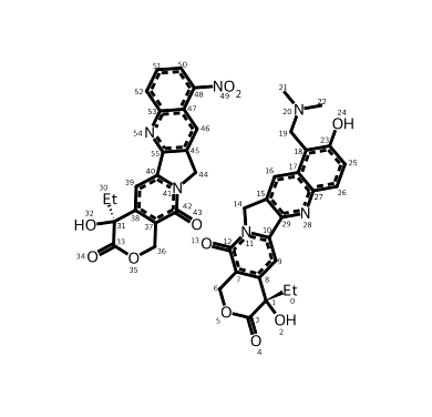 CC[C@@]1(O)C(=O)OCc2c1cc1n(c2=O)Cc2cc3c(CN(C)C)c(O)ccc3nc2-1.CC[C@@]1(O)C(=O)OCc2c1cc1n(c2=O)Cc2cc3c([N+](=O)[O-])cccc3nc2-1